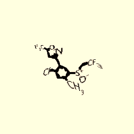 Cc1cc(Cl)c(-c2cc(C(F)(F)F)on2)cc1[S+]([O-])CC(F)(F)F